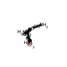 NCCOCCOCCOCc1ccc(-n2cc(NC(=O)c3coc(-c4ccnc(NCC(F)(F)F)c4)n3)c(C(N)=O)n2)cc1